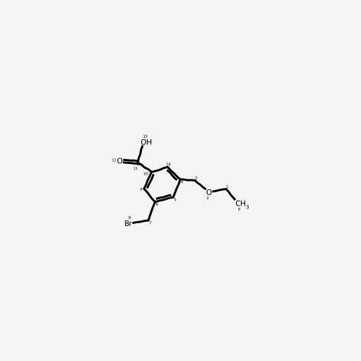 CCOCc1cc(CBr)cc(C(=O)O)c1